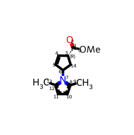 COC(=O)[C@H]1C=CC(n2c(C)ccc2C)C1